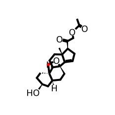 CC(=O)OCC(=O)[C@H]1CC=C2[C@]1(C)CC[C@@H]1[C@@]34CC[C@H](O)C[C@@H]3CC[C@@]21OC4